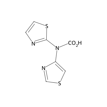 O=C(O)N(c1cscn1)c1nccs1